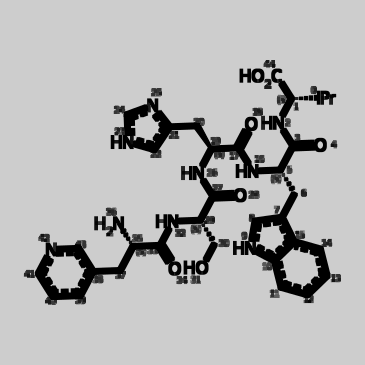 CC(C)[C@H](NC(=O)[C@H](Cc1c[nH]c2ccccc12)NC(=O)[C@H](Cc1c[nH]cn1)NC(=O)[C@H](CO)NC(=O)[C@@H](N)Cc1cccnc1)C(=O)O